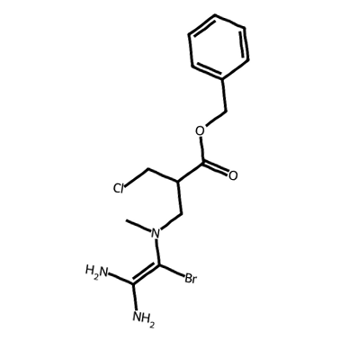 CN(CC(CCl)C(=O)OCc1ccccc1)C(Br)=C(N)N